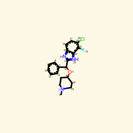 CN1CCC(OC(c2ccccc2)c2nc3ccc(Cl)c(F)c3[nH]2)CC1